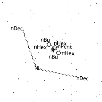 CCCCCCC1=C(c2cc(CCCC)cc(CCCCCC)c2)[N+](=[N-])C(c2cc(CCCC)cc(CCCCCC)c2)=C1CCCCC.CCCCCCCCCCCCCCCCCCCCCCCCCCCCC=[CH][Ni][CH]=CCCCCCCCCCCCCCCCCCCCCCCCCCCCC